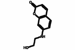 O=c1ccc2ccc(NCCO)cc2o1